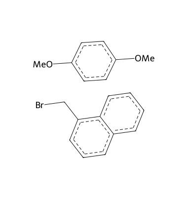 BrCc1cccc2ccccc12.COc1ccc(OC)cc1